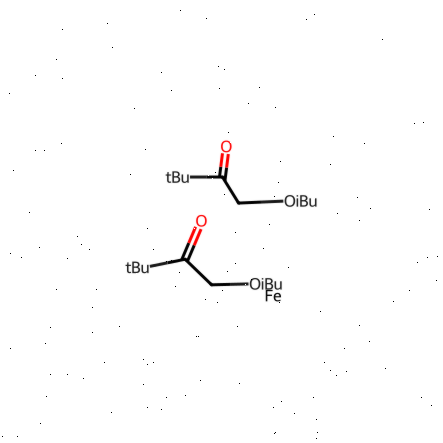 CC(C)COCC(=O)C(C)(C)C.CC(C)COCC(=O)C(C)(C)C.[Fe]